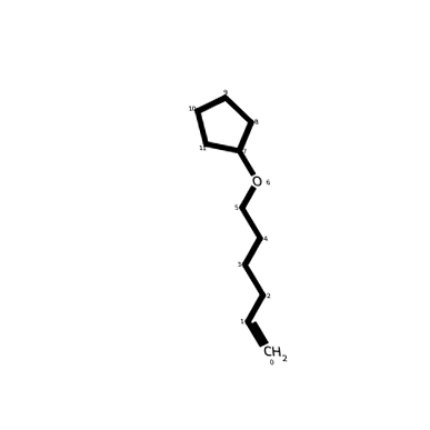 C=CCCCCOC1CCCC1